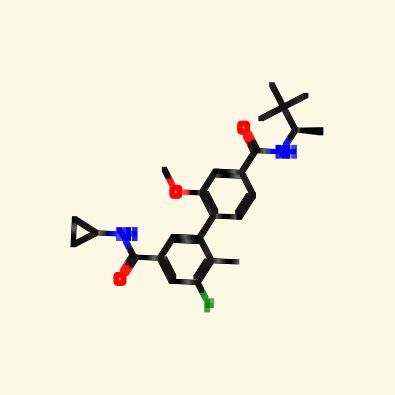 COc1cc(C(=O)N[C@H](C)C(C)(C)C)ccc1-c1cc(C(=O)NC2CC2)cc(F)c1C